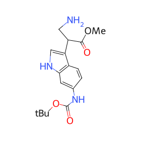 COC(=O)C(CN)c1c[nH]c2cc(NC(=O)OC(C)(C)C)ccc12